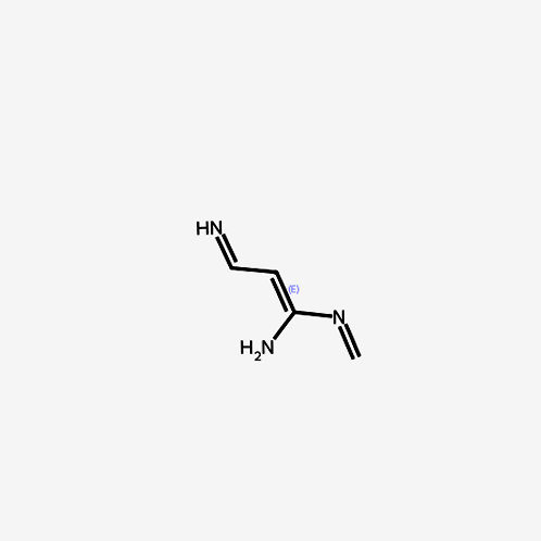 C=N/C(N)=C/C=N